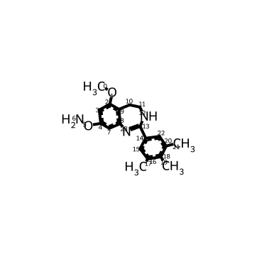 COc1cc(ON)cc2c1CCNC(c1cc(C)c(C)c(C)c1)=N2